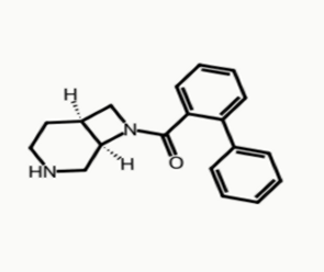 O=C(c1ccccc1-c1ccccc1)N1C[C@@H]2CCNC[C@@H]21